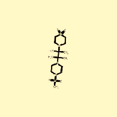 CC(C)(N1CCN(S(C)(=O)=O)CC1)C(C)(C)N1CCS(=O)(=O)CC1